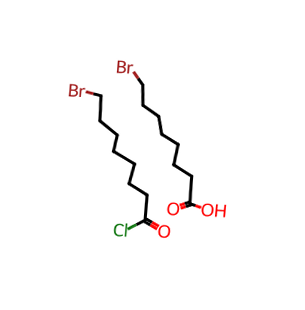 O=C(Cl)CCCCCCCBr.O=C(O)CCCCCCCBr